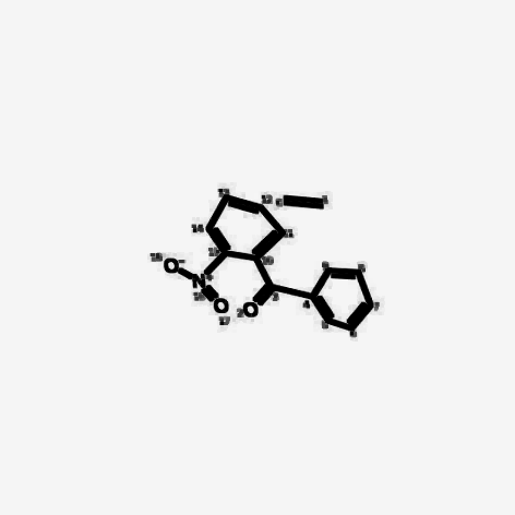 C=C.O=C(c1ccccc1)c1ccccc1[N+](=O)[O-]